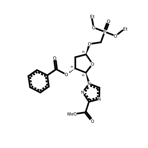 CCOP(=O)(CO[C@@H]1C[C@@H](OC(=O)c2ccccc2)[C@H](n2cnc(C(=O)OC)n2)O1)OCC